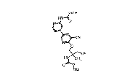 COC(=O)Nc1cc(-c2cnc(OCC(C)(CC(C)C)NC(=O)OC(C)(C)C)c(C#N)c2)ccn1